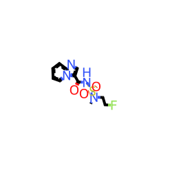 CN(CCF)S(=O)(=O)NC(=O)c1cnc2ccccn12